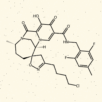 Cc1cc(F)c(CNC(=O)c2cn3c(c(O)c2=O)C(=O)N2C[C@@H]3[C@]3(CC[C@@H]2C)CC(CCCCCl)=NO3)c(F)c1